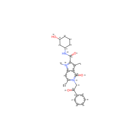 CCc1cc2c(c(C)c(C(=O)NC3CCCC(O)C3)n2C)c(=O)n1CC(=O)c1ccccc1